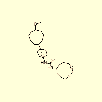 CBC1CCCCC(C23CCC(NC(=O)BC4CCCCCCCCC4)(CC2)CC3)CCC1